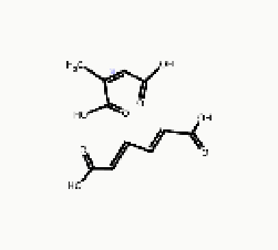 C/C(=C/C(=O)O)C(=O)O.O=C(O)C=CC=CC(=O)O